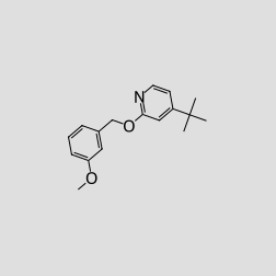 COc1cccc(COc2cc(C(C)(C)C)ccn2)c1